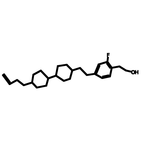 C=CCCC1CCC(C2CCC(CCc3ccc(CCO)c(F)c3)CC2)CC1